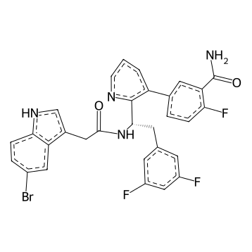 NC(=O)c1cc(-c2cccnc2[C@H](Cc2cc(F)cc(F)c2)NC(=O)Cc2c[nH]c3ccc(Br)cc23)ccc1F